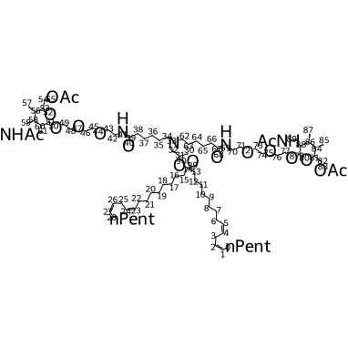 CCCCC/C=C\C/C=C\CCCCCCCCC1(CCCCCCCC/C=C\C/C=C\CCCCC)OC[C@H](CN(CCCCCC(=O)NCCOCCOCCO[C@@H]2OC(COC(C)=O)[C@H](C)[C@H](C)C2NC(C)=O)CCCCCC(=O)NCCOCCOCCO[C@@H]2OC(COC(C)=O)[C@H](C)[C@H](C)C2NC(C)=O)O1